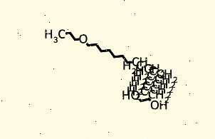 C=C.C=C.C=C.C=C.C=C.C=C.CCCCCCCCOCCC.OCCO